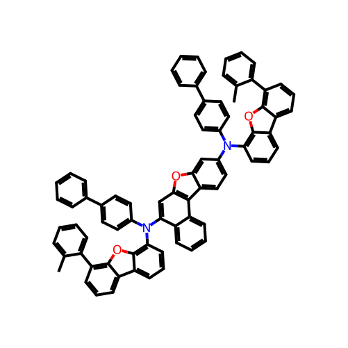 Cc1ccccc1-c1cccc2c1oc1c(N(c3ccc(-c4ccccc4)cc3)c3ccc4c(c3)oc3cc(N(c5ccc(-c6ccccc6)cc5)c5cccc6c5oc5c(-c7ccccc7C)cccc56)c5ccccc5c34)cccc12